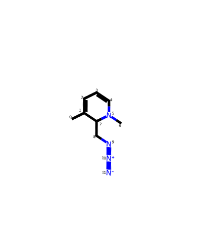 CC1=CC=CN(C)C1CN=[N+]=[N-]